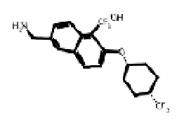 Cl.NCc1ccc2c(C(F)(F)F)c(O[C@H]3CC[C@@H](C(F)(F)F)CC3)ccc2c1